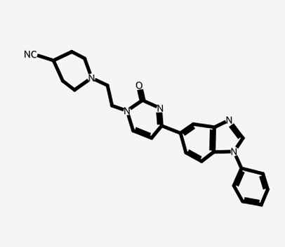 N#CC1CCN(CCn2ccc(-c3ccc4c(c3)ncn4-c3ccccc3)nc2=O)CC1